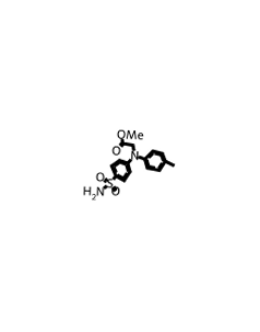 COC(=O)CN(c1ccc(C)cc1)c1ccc(S(N)(=O)=O)cc1